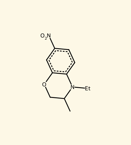 CCN1c2ccc([N+](=O)[O-])cc2OCC1C